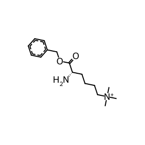 C[N+](C)(C)CCCC[C@H](N)C(=O)OCc1ccccc1